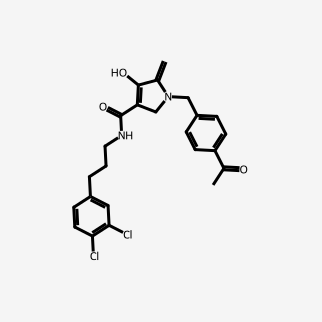 C=C1C(O)=C(C(=O)NCCCc2ccc(Cl)c(Cl)c2)CN1Cc1ccc(C(C)=O)cc1